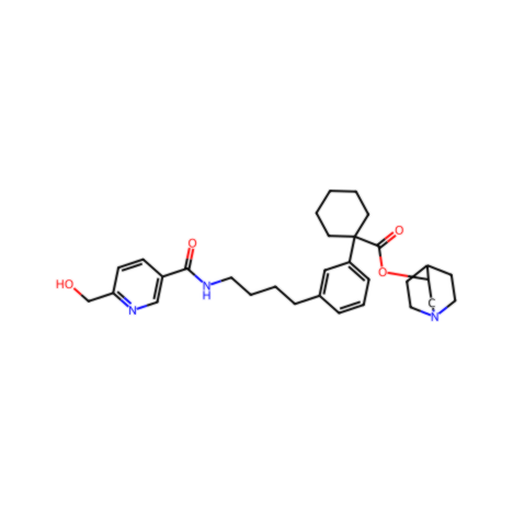 O=C(NCCCCc1cccc(C2(C(=O)OC3CN4CCC3CC4)CCCCC2)c1)c1ccc(CO)nc1